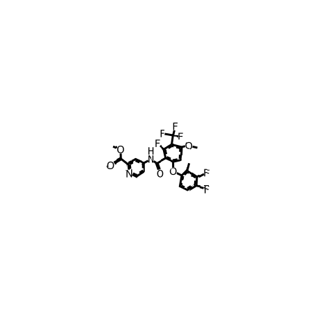 COC(=O)c1cc(NC(=O)c2c(Oc3ccc(F)c(F)c3C)cc(OC)c(C(F)(F)F)c2F)ccn1